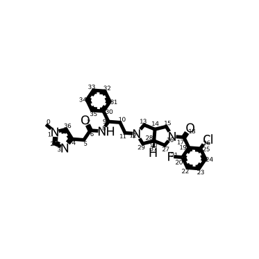 Cn1cnc(CC(=O)NC(CCN2CC3CN(C(=O)c4c(F)cccc4Cl)C[C@@H]3C2)c2ccccc2)c1